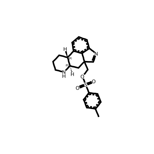 Cc1ccc(S(=O)(=O)OCC23C=Nc4cccc(c42)[C@H]2CCCN[C@@H]2C3)cc1